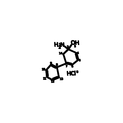 Cl.NC1(O)C=CC=C(c2ccccc2)C1